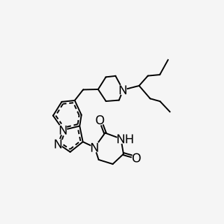 CCCC(CCC)N1CCC(Cc2ccn3ncc(N4CCC(=O)NC4=O)c3c2)CC1